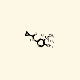 Cc1cnc(NC(=O)C2CC2)c[c]1[Sn]([CH3])([CH3])[CH3]